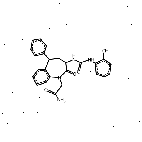 Cc1ccccc1NC(=O)NC1CC(c2ccccc2)c2ccccc2N(CC(N)=O)C1=O